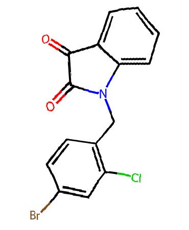 O=C1C(=O)N(Cc2ccc(Br)cc2Cl)c2ccccc21